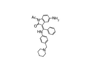 CC(=O)N1C(=O)/C(=C(\Nc2ccc(CN3CCCCC3)cc2)c2ccccc2)c2cc(N)ccc21